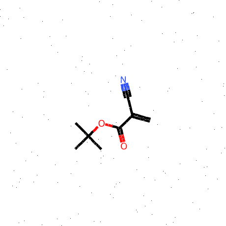 C=C(C#N)C(=O)OC(C)(C)C